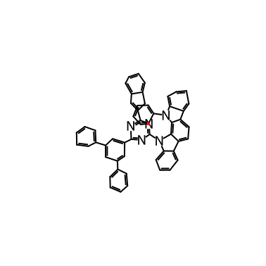 C1=C(c2nc(-c3cc(-c4ccccc4)cc(-c4ccccc4)c3)nc(-n3c4ccccc4c4ccc5c6ccccc6n(-c6ccccc6)c5c43)n2)Cc2ccccc21